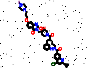 O=C(NCCC[C@H](Cc1ccccc1)C(=O)N1CCC(O)(Cn2cnc3cc(OCCCN4CCN(I)CC4)ccc3c2=O)CC1)c1ccc2c(Cl)cc(C3CC3)nc2c1